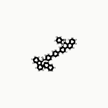 S=P(c1ccc(-c2ccc(-c3ccc4c5ccc6ccccc6c5c5nc6ccccc6n5c4c3)cc2)cc1)(c1ccc2ccccc2c1)C1c2ccccc2-c2ccccc21